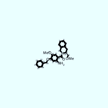 COC[C@@H]1Cc2ccccc2CN1C(=O)c1cc(OC)c(OCc2ccccc2)cc1N